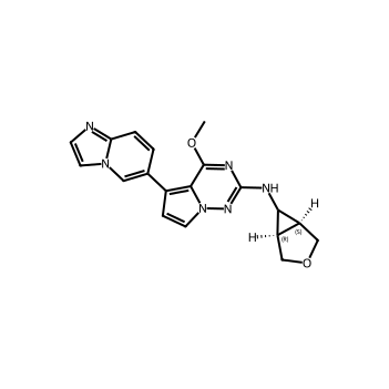 COc1nc(NC2[C@H]3COC[C@@H]23)nn2ccc(-c3ccc4nccn4c3)c12